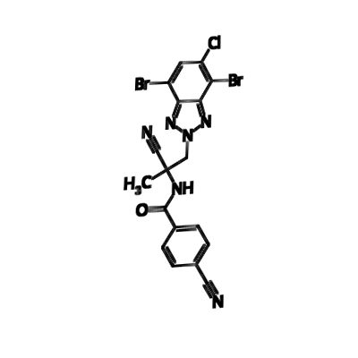 CC(C#N)(Cn1nc2c(Br)cc(Cl)c(Br)c2n1)NC(=O)c1ccc(C#N)cc1